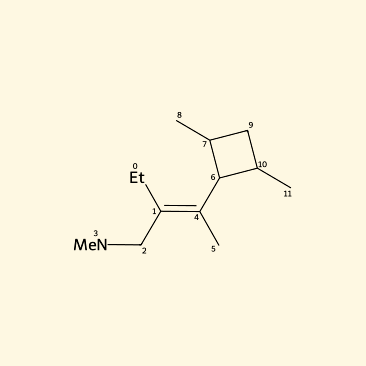 CC/C(CNC)=C(/C)C1C(C)CC1C